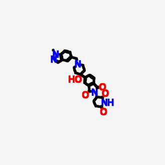 Cn1ncc2cc(CN3CCC(O)(c4ccc5c(c4)C(=O)N(C4CCC(=O)NC4=O)C5=O)CC3)ccc21